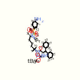 CC(C)N([C@H](CO)CCCC(C)(C)NC(=O)[C@@H](NC(=O)OC(C)(C)C)C(c1ccccc1)c1ccccc1)S(=O)(=O)c1ccc(N)cc1